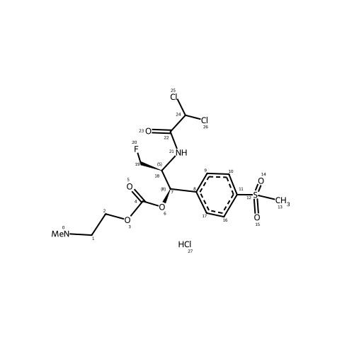 CNCCOC(=O)O[C@H](c1ccc(S(C)(=O)=O)cc1)[C@@H](CF)NC(=O)C(Cl)Cl.Cl